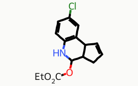 CCOC(=O)OC1Nc2ccc(Cl)cc2C2C=CCC12